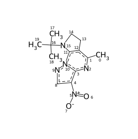 Cc1nc2c([N+](=O)[O-])cnn2c2c1CCN2C(C)(C)C